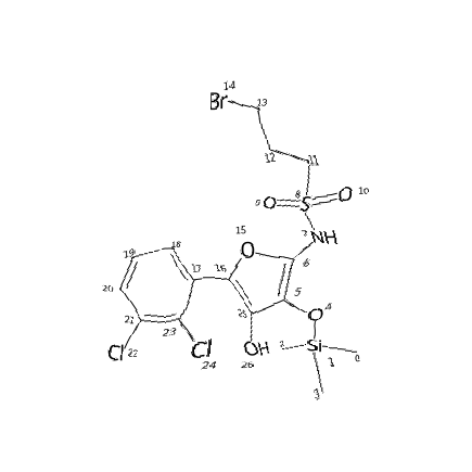 C[Si](C)(C)Oc1c(NS(=O)(=O)CCCBr)oc(-c2cccc(Cl)c2Cl)c1O